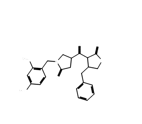 COc1ccc(CN2CC(C(=O)C3C(=O)OCC3Cc3ccccc3)CC2=O)c(OC)c1